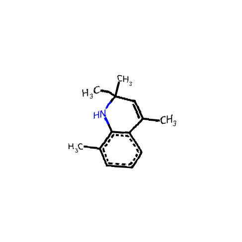 CC1=CC(C)(C)Nc2c(C)cccc21